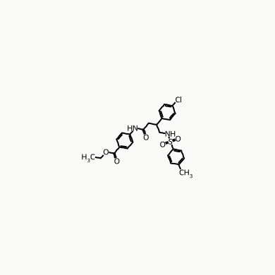 CCOC(=O)c1ccc(NC(=O)CC(CNS(=O)(=O)c2ccc(C)cc2)c2ccc(Cl)cc2)cc1